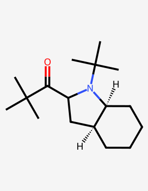 CC(C)(C)C(=O)C1C[C@@H]2CCCC[C@@H]2N1C(C)(C)C